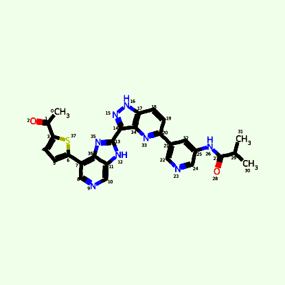 CC(=O)c1ccc(-c2cncc3[nH]c(-c4n[nH]c5ccc(-c6cncc(NC(=O)C(C)C)c6)nc45)nc23)s1